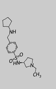 CCN1CC[C@H](NS(=O)(=O)c2ccc(CNC3CCCC3)cc2)C1